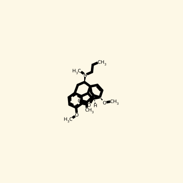 CCCN(C)[C@@H]1Cc2ccc(OC)c3c2C2C(O3)[C@]3(OC)C=CC21C[C@@H]3C(C)=O